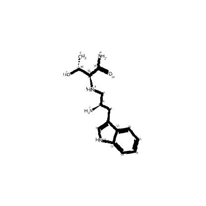 C[C@@H](O)[C@H](NC[C@H](N)Cc1c[nH]c2ccccc12)C(N)=O